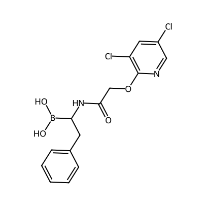 O=C(COc1ncc(Cl)cc1Cl)NC(Cc1ccccc1)B(O)O